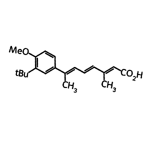 COc1ccc(/C(C)=C/C=C/C(C)=C/C(=O)O)cc1C(C)(C)C